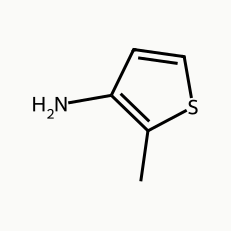 Cc1sccc1N